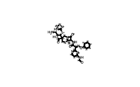 NCCC(Sc1nnn[nH]1)C1(C(=O)O)CS[C@@H]2C(NC(=O)C(=NOc3ccccc3)c3nccc(NC=O)n3)C(=O)N2C1